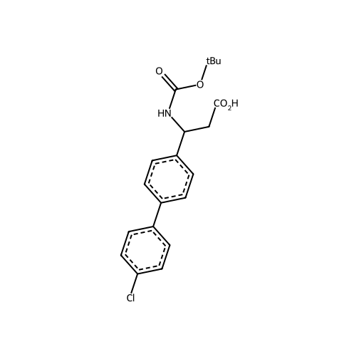 CC(C)(C)OC(=O)NC(CC(=O)O)c1ccc(-c2ccc(Cl)cc2)cc1